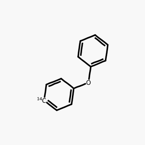 c1ccc(Oc2cc[14cH]cc2)cc1